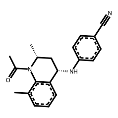 CC(=O)N1c2c(C)cccc2[C@@H](Nc2ccc(C#N)cc2)C[C@H]1C